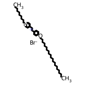 CCCCCCCCCCCCCCCCCCCCCCOc1ccc(/C=C/c2cc[n+](CCCCCCCCCC)cc2)cc1.[Br-]